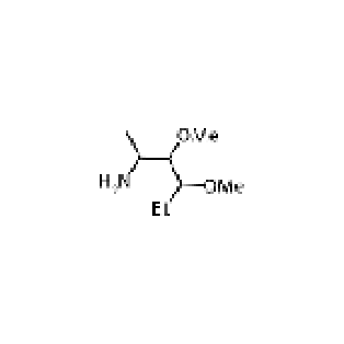 CCC(OC)C(OC)C(C)N